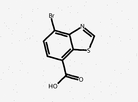 O=C(O)c1ccc(Br)c2ncsc12